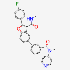 CNC(=O)c1c(-c2ccc(F)cc2)oc2ccc(-c3cccc(C(=O)N(C)c4ccncc4)c3)cc12